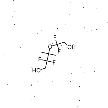 CC(C)(OC(F)(F)CO)C(F)(F)CO